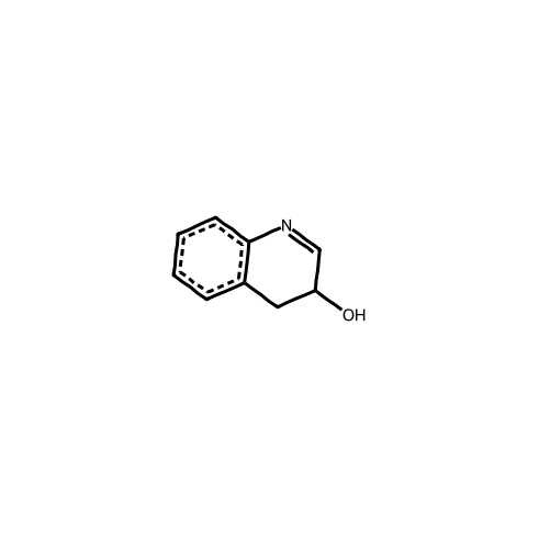 OC1C=Nc2ccccc2C1